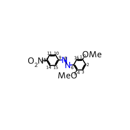 COc1ccc(OC)c(N=Nc2ccc([N+](=O)[O-])cc2)c1